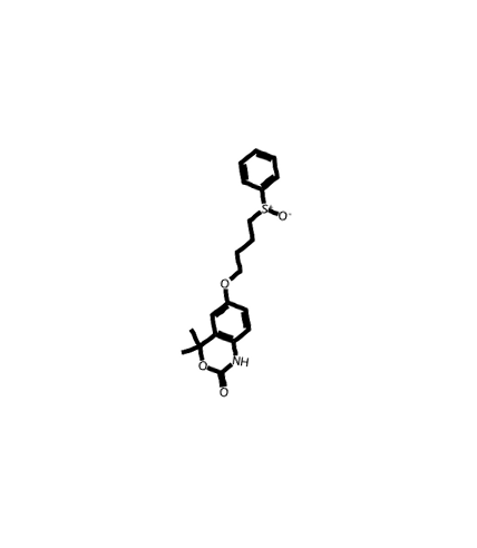 CC1(C)OC(=O)Nc2ccc(OCCCC[S+]([O-])c3ccccc3)cc21